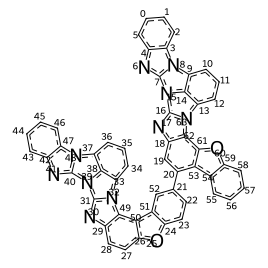 c1ccc2c(c1)nc1n2c2cccc3c2n1c1nc2cc(-c4ccc5oc6ccc7nc8n(c9cccc%10c9n8c8nc9ccccc9n%108)c7c6c5c4)c4c5ccccc5oc4c2n31